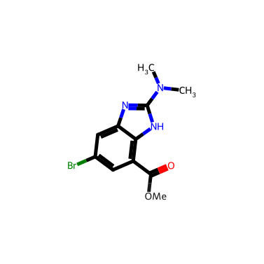 COC(=O)c1cc(Br)cc2nc(N(C)C)[nH]c12